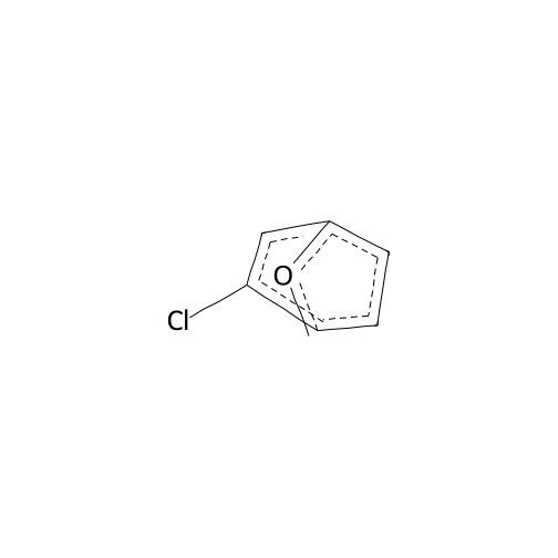 Clc1cc2ccc1o2